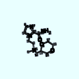 CN(CCn1c[c]nc1C(N)=O)CC1COCCO1